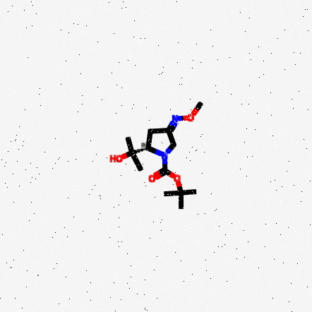 CON=C1C[C@@H](C(C)(C)O)N(C(=O)OC(C)(C)C)C1